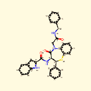 O=C(CN1C(=O)[C@H](NC(=O)c2cc3ccccc3[nH]2)[C@H](c2ccccc2)Sc2ccccc21)NCc1ccccc1